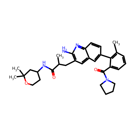 Cc1cccc(C(=O)N2CCCC2)c1-c1ccc2nc(N)c(CC(C)C(=O)NC3CCOC(C)(C)C3)cc2c1